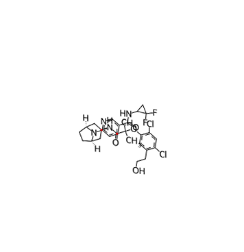 CC(C)(Oc1cc(CCO)c(Cl)cc1Cl)C(=O)N[C@H]1C[C@H]2CC[C@@H](C1)N2c1ccc(C(=O)NC2CC2(F)F)cn1